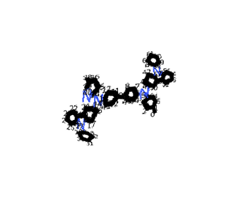 Cc1ccc(N(c2ccc(-c3ccc(N(c4ccc5c(c4)c4ccccc4n5-c4ccccc4)c4ccc(C)cn4)cc3)cc2)c2ccc3c(c2)c2ccccc2n3-c2ccccc2)cc1